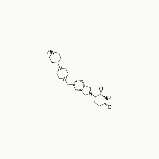 O=C1CCC(N2Cc3ccc(CN4CCN(C5CCNCC5)CC4)cc3C2)C(=O)N1